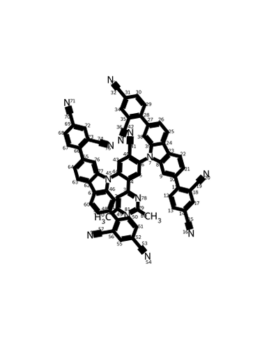 Cc1cc(-c2cc(-n3c4cc(-c5ccc(C#N)cc5C#N)ccc4c4ccc(-c5ccc(C#N)cc5C#N)cc43)c(C#N)cc2-n2c3cc(-c4ccc(C#N)cc4C#N)ccc3c3ccc(-c4ccc(C#N)cc4C#N)cc32)nc(C)n1